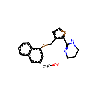 O=CO.c1ccc2c(SCc3ccsc3C3=NCCCN3)cccc2c1